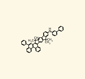 CC1(C)c2cc(Nc3cccc(-c4ccccc4)c3)ccc2-c2cc3c(cc21)-c1c(c2cc(-c4ccccc4)c4ccccc4c2c2ccccc12)C3(C)C